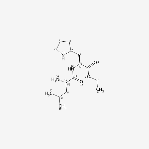 CCOC(=O)[C@H](CC1CCCN1)NC(=O)[C@@H](N)CC(C)C